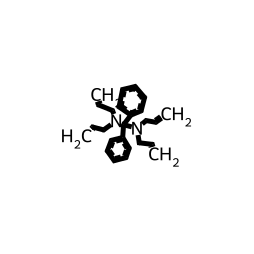 C=CCN(CC=C)C(c1ccccc1)(c1ccccc1)N(CC=C)CC=C